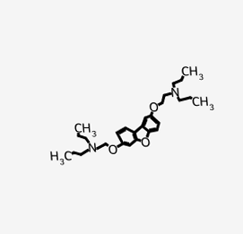 CCCN(CCC)CCOc1ccc2c(c1)oc1ccc(OCCN(CCC)CCC)cc12